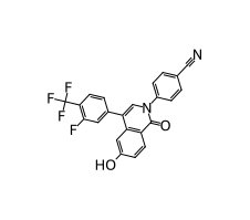 N#Cc1ccc(-n2cc(-c3ccc(C(F)(F)F)c(F)c3)c3cc(O)ccc3c2=O)cc1